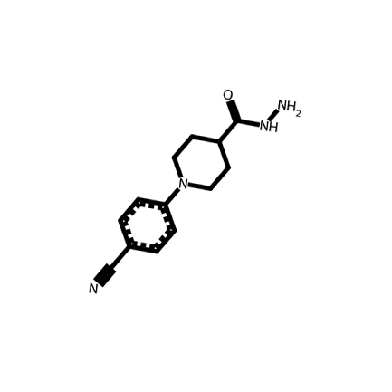 N#Cc1ccc(N2CCC(C(=O)NN)CC2)cc1